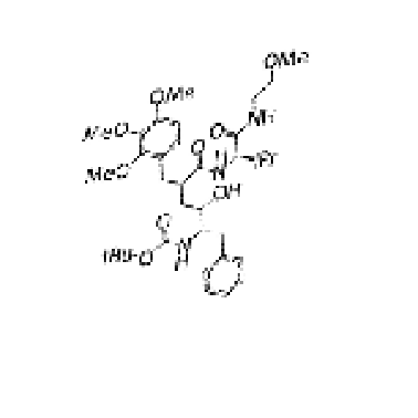 COCCNC(=O)[C@H](NC(=O)C(Cc1ccc(OC)c(OC)c1OC)C[C@H](O)[C@H](Cc1ccccc1)NC(=O)OC(C)(C)C)C(C)C